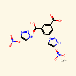 O=C(O)c1cccc(C(=O)O)c1.O=[N+]([O-])[O-].O=[N+]([O-])[O-].[Co+2].c1c[nH]nn1.c1c[nH]nn1